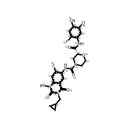 CC(C)n1c(=O)n(CC2CC2)c(=O)c2cc(NC(=O)N3CCO[C@@H](C(=O)Nc4cc(Cl)c(C#N)cc4F)C3)c(F)cc21